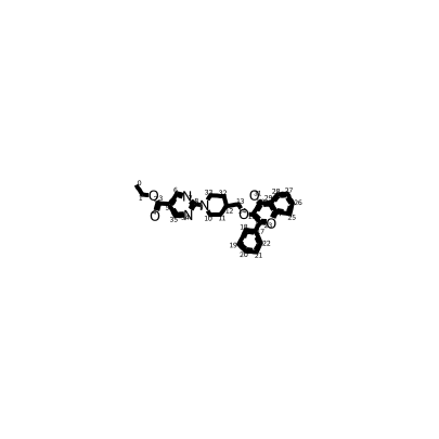 CCOC(=O)c1cnc(N2CCC(COc3c(-c4ccccc4)oc4ccccc4c3=O)CC2)nc1